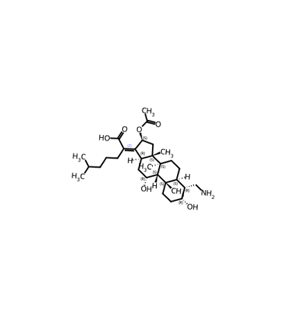 CC(=O)O[C@H]1C[C@@]2(C)[C@@H](C[C@@H](O)[C@H]3[C@@]4(C)CC[C@@H](O)[C@@H](CN)[C@@H]4CC[C@@]32C)/C1=C(\CCCC(C)C)C(=O)O